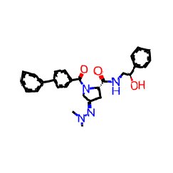 CN(C)/N=C1/C[C@@H](C(=O)NC[C@H](O)c2ccccc2)N(C(=O)c2ccc(-c3ccccc3)cc2)C1